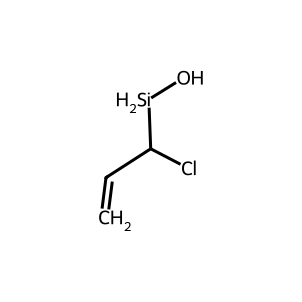 C=CC(Cl)[SiH2]O